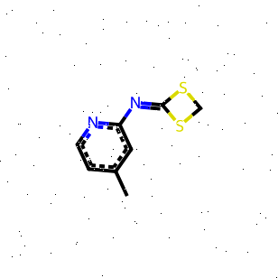 Cc1ccnc(N=C2SCS2)c1